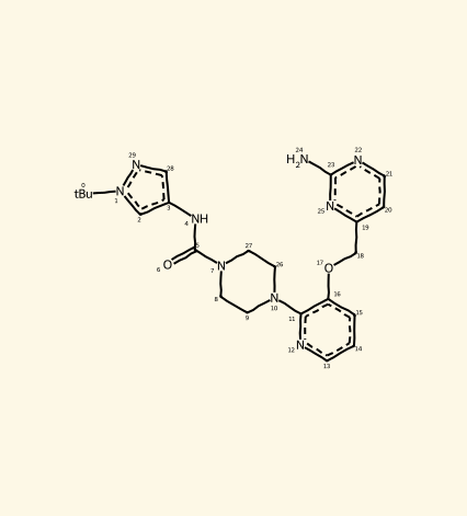 CC(C)(C)n1cc(NC(=O)N2CCN(c3ncccc3OCc3ccnc(N)n3)CC2)cn1